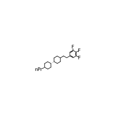 CCC[C@H]1CC[C@H](C2CCC(CCc3cc(F)c(F)c(F)c3)CC2)CC1